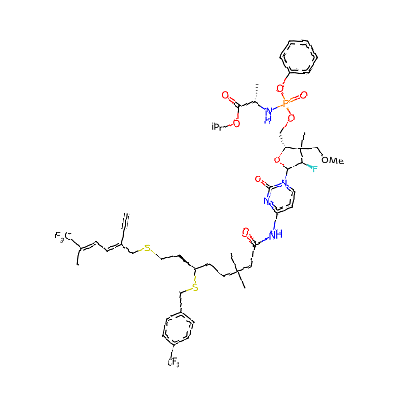 C#C/C(=C\C=C(/C)C(F)(F)F)CSCC[C@@H](CCC(C)(C)CC(=O)Nc1ccn(C2O[C@H](COP(=O)(N[C@@H](C)C(=O)OC(C)C)Oc3ccccc3)C(C)(COC)[C@H]2F)c(=O)n1)SCc1ccc(C(F)(F)F)cc1